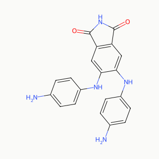 Nc1ccc(Nc2cc3c(cc2Nc2ccc(N)cc2)C(=O)NC3=O)cc1